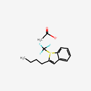 CC(=O)[O-].CCCCc1cc2ccccc2[s+]1C(F)(F)F